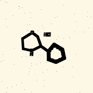 Cl.c1ccc(C2COCCN2)cc1